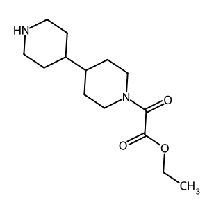 CCOC(=O)C(=O)N1CCC(C2CCNCC2)CC1